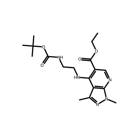 CCOC(=O)c1cnc2c(c(C)nn2C)c1NCCNC(=O)OC(C)(C)C